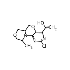 C=C(O)c1nc(Cl)nc2c1OCC1COCC(C)N21